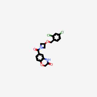 O=C1COc2ccc(C(=O)N3CC(OCc4ccc(Cl)cc4Cl)C3)cc2N1